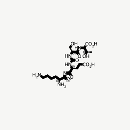 C[C@@H](O)C(NC(=O)[C@H](CO)NC(=O)N[C@@H](CCC(=O)O)c1nc([C@@H](N)CCCCN)no1)C(=O)O